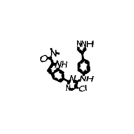 CN(C)C(=O)c1cc2ccc(-c3ncc(Cl)c(Nc4ccc(-c5cn[nH]c5)cc4)n3)cc2[nH]1